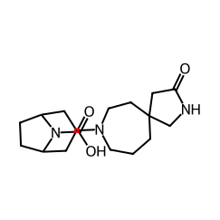 O=C1CC2(CCCN(C3CC4CCC(C3)N4C(=O)O)CC2)CN1